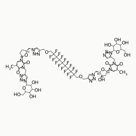 Cc1cn([C@H]2CC[C@@H](Cn3cc(COCC(F)(F)C(F)(F)C(F)(F)C(F)(F)C(F)(F)C(F)(F)C(F)(F)C(F)(F)COCc4cn(C[C@H]5O[C@@H](n6cc(C)c(=O)n(Cc7cnnn7C7OC(CO)C(O)C(O)C7O)c6=O)C[C@H]5O)nn4)nn3)O2)c(=O)n(Cc2cn(C3OC(CO)C(O)C(O)C3O)nn2)c1=O